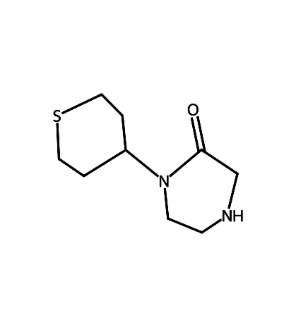 O=C1CNCCN1C1CCSCC1